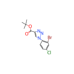 CC(C)(C)OC(=O)c1cn(-c2ccc(Cl)cc2Br)nn1